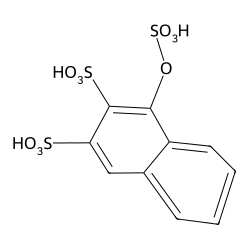 O=S(=O)(O)Oc1c(S(=O)(=O)O)c(S(=O)(=O)O)cc2ccccc12